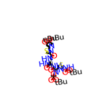 CCCCOc1cnc(-c2nc(C(=O)NC[C@H]3NC(=O)[C@H]3NC(=O)/C(=N\OC(C)(C)C(=O)OC(C)(C)C)C3CSC(NC(=O)OC(C)(C)C)=N3)cs2)cc1OCCCC